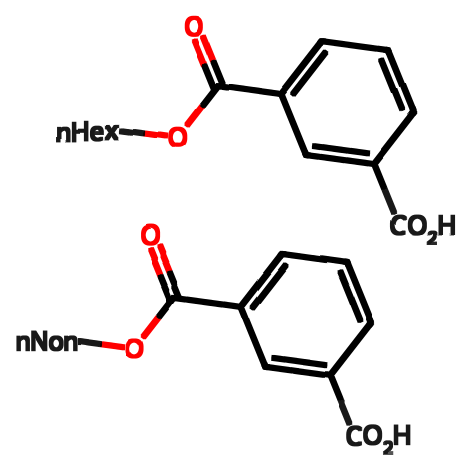 CCCCCCCCCOC(=O)c1cccc(C(=O)O)c1.CCCCCCOC(=O)c1cccc(C(=O)O)c1